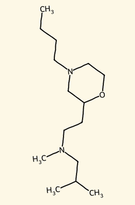 CCCCN1CCOC(CCN(C)CC(C)C)C1